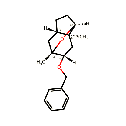 C[C@]12C[C@H](OCc3ccccc3)[C@]3(C)C[C@@H]1CC[C@@H]2O3